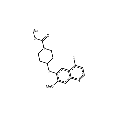 COc1cc2nccc(Cl)c2cc1OC1CCN(C(=O)OC(C)(C)C)CC1